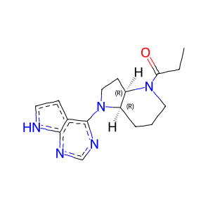 CCC(=O)N1CCC[C@@H]2[C@H]1CCN2c1ncnc2[nH]ccc12